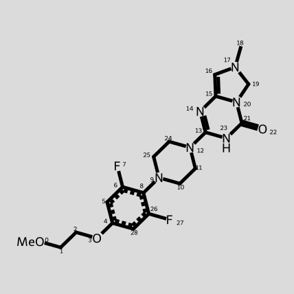 COCCOc1cc(F)c(N2CCN(C3=NC4=CN(C)CN4C(=O)N3)CC2)c(F)c1